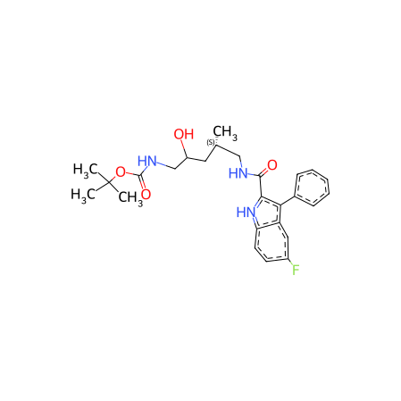 C[C@H](CNC(=O)c1[nH]c2ccc(F)cc2c1-c1ccccc1)CC(O)CNC(=O)OC(C)(C)C